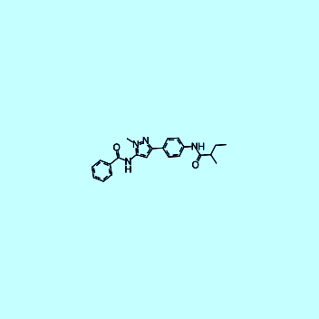 CCC(C)C(=O)Nc1ccc(-c2cc(NC(=O)c3ccccc3)n(C)n2)cc1